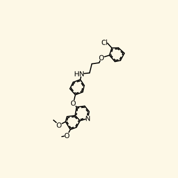 COc1cc2nccc(Oc3ccc(NCCCOc4ccccc4Cl)cc3)c2cc1OC